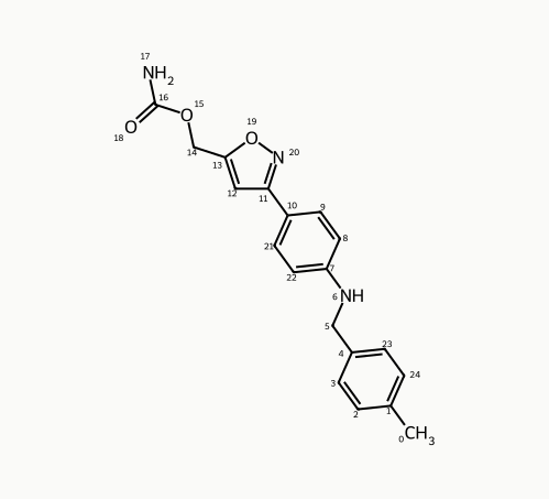 Cc1ccc(CNc2ccc(-c3cc(COC(N)=O)on3)cc2)cc1